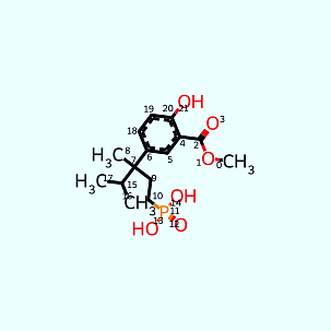 COC(=O)c1cc(C(C)(CCP(=O)(O)O)C(C)C)ccc1O